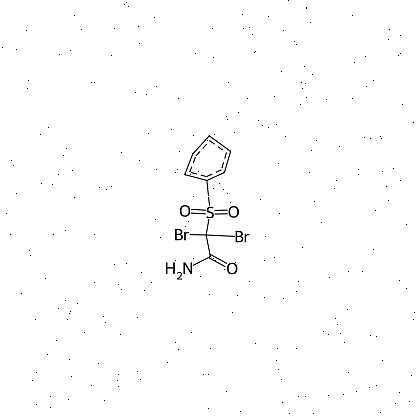 NC(=O)C(Br)(Br)S(=O)(=O)c1ccccc1